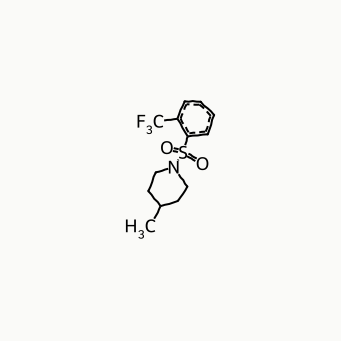 CC1CCN(S(=O)(=O)c2ccccc2C(F)(F)F)CC1